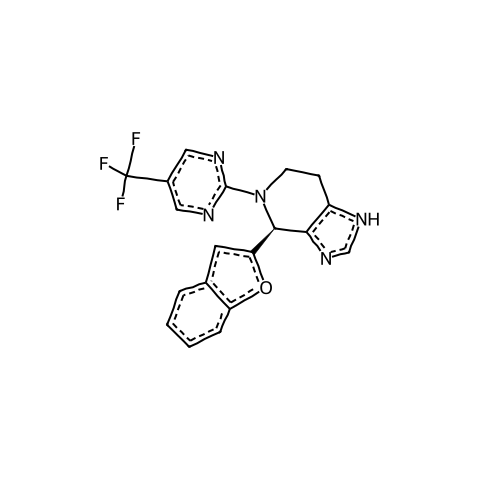 FC(F)(F)c1cnc(N2CCc3[nH]cnc3[C@H]2c2cc3ccccc3o2)nc1